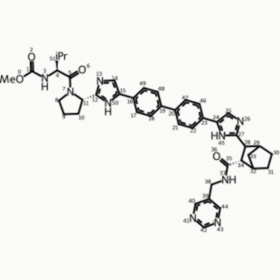 COC(=O)N[C@H](C(=O)N1CCC[C@H]1c1ncc(-c2ccc(-c3ccc(-c4cnc(C5C6CCC(C6)[C@@H]5C(=O)NCc5cncnc5)[nH]4)cc3)cc2)[nH]1)C(C)C